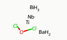 ClOCl.[BaH2].[BiH3].[Nb].[Ti]